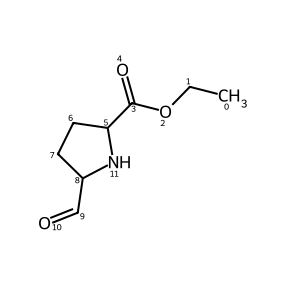 CCOC(=O)C1CCC(C=O)N1